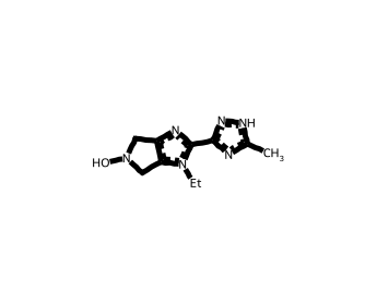 CCn1c(-c2n[nH]c(C)n2)nc2c1CN(O)C2